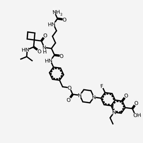 CCn1cc(C(=O)O)c(=O)c2cc(F)c(N3CCN(C(=O)OCc4ccc(NC(=O)C(CCCNC(N)=O)NC(=O)C5(C(=O)NC(C)C)CCC5)cc4)CC3)cc21